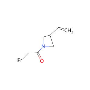 C=CC1CN(C(=O)CC(C)C)C1